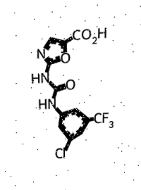 O=C(Nc1cc(Cl)cc(C(F)(F)F)c1)Nc1ncc(C(=O)O)o1